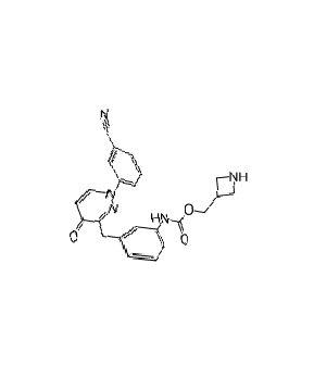 N#Cc1cccc(-n2ccc(=O)c(Cc3cccc(NC(=O)OCC4CNC4)c3)n2)c1